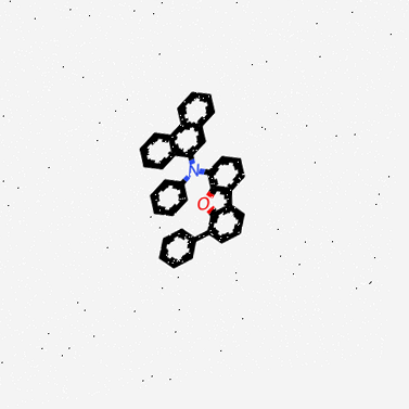 c1ccc(-c2cccc3c2oc2c(N(c4ccccc4)c4cc5ccccc5c5ccccc45)cccc23)cc1